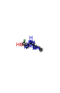 Oc1cc(F)cc(-c2nccc3[nH]c(-c4n[nH]c5ncc(-c6cncc(CNCC7CCCC7)c6)cc45)nc23)c1